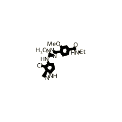 CCNC(=O)c1ccc(-c2nc(Nc3ccc4[nH]ncc4c3Cl)n(C)n2)c(OC)c1